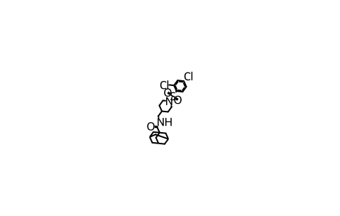 O=C(NCC1CCN(S(=O)(=O)c2ccc(Cl)cc2Cl)CC1)C12CC3CC(CC(C3)C1)C2